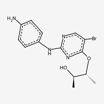 C[C@@H](O)[C@@H](C)Oc1nc(Nc2ccc(N)cc2)ncc1Br